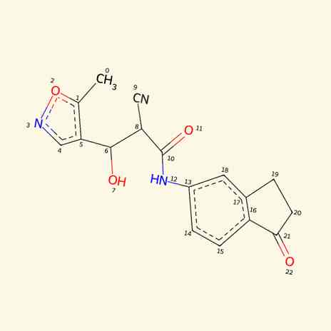 Cc1oncc1C(O)C(C#N)C(=O)Nc1ccc2c(c1)CCC2=O